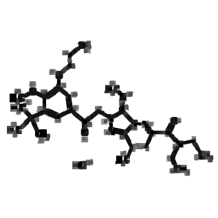 CCN(CC)C(=O)c1cc(C)c2nn(CC(=O)c3cc(OCCO)c(OC)c(C(C)(C)C)c3)c(=NC)n2n1.Cl